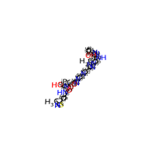 Cc1ncsc1-c1ccc(CNC(=O)[C@@H]2C[C@@H](O)CN2C(=O)C(c2cc(N3CCC(N4CCC(c5cnc(N6CCc7[nH]c8nnc(-c9ccccc9O)cc8c7[C@H]6C)nc5)CC4)CC3)no2)C(C)C)cc1